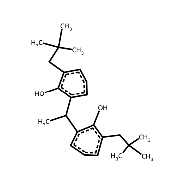 CC(c1cccc(CC(C)(C)C)c1O)c1cccc(CC(C)(C)C)c1O